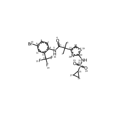 CC(C)(C(=O)Nc1ccc(Br)cc1C(F)(F)F)c1csc(NS(=O)(=O)C2CC2)n1